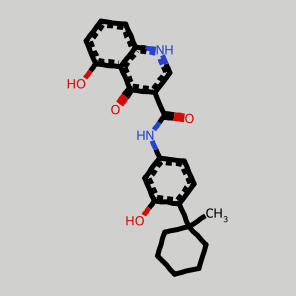 CC1(c2ccc(NC(=O)c3c[nH]c4cccc(O)c4c3=O)cc2O)CCCCC1